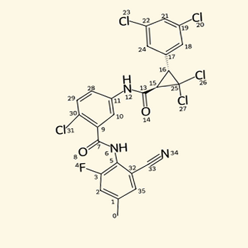 Cc1cc(F)c(NC(=O)c2cc(NC(=O)[C@H]3[C@H](c4cc(Cl)cc(Cl)c4)C3(Cl)Cl)ccc2Cl)c(C#N)c1